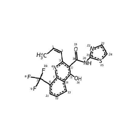 C/C=C\c1nc2c(C(F)(F)F)cccc2c(O)c1C(=O)Nc1nccs1